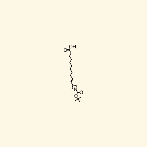 CC(C)(C)OC(=O)N1CC(C=CCCCCCCCCC(=O)O)C1